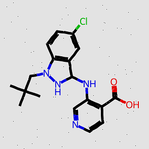 CC(C)(C)CN1NC(Nc2cnccc2C(=O)O)c2cc(Cl)ccc21